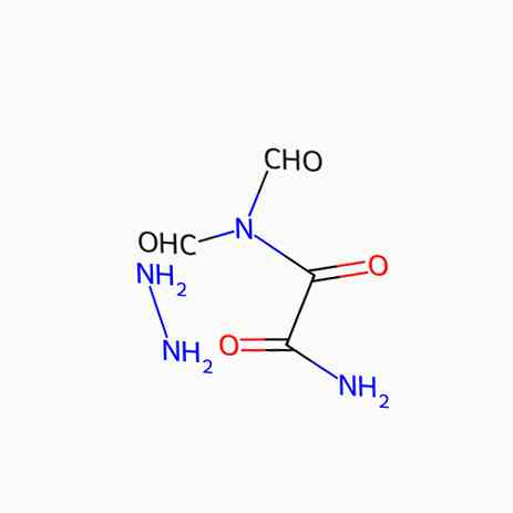 NC(=O)C(=O)N(C=O)C=O.NN